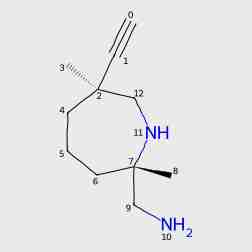 C#C[C@]1(C)CCC[C@@](C)(CN)NC1